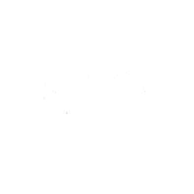 Cc1ccc(-c2cc(C(F)(F)F)nn2-c2ccc(S(=O)(=O)NC(=O)C3CCN(n4on4OCN4C(=O)c5ccccc5C4=O)CC3)cc2)cc1